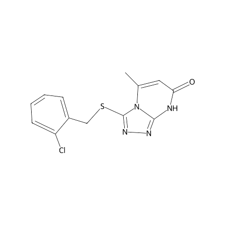 Cc1cc(=O)[nH]c2nnc(SCc3ccccc3Cl)n12